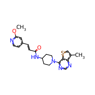 COc1cc(C=CC(=O)NC2CCN(c3ncnc4c(C)csc34)CC2)ccn1